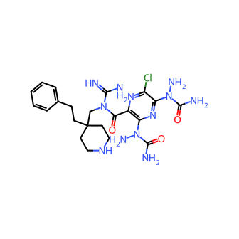 N=C(N)N(CC1(CCc2ccccc2)CCNCC1)C(=O)c1nc(Cl)c(N(N)C(N)=O)nc1N(N)C(N)=O